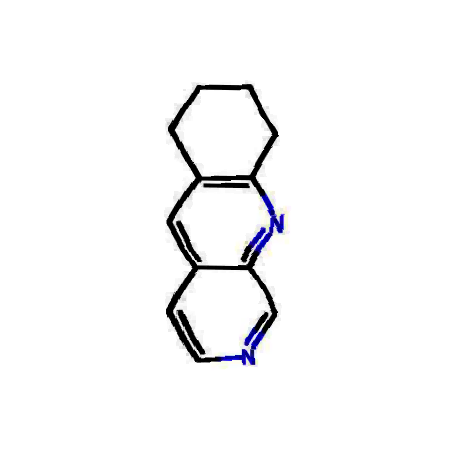 c1cc2cc3c(nc2cn1)CCCC3